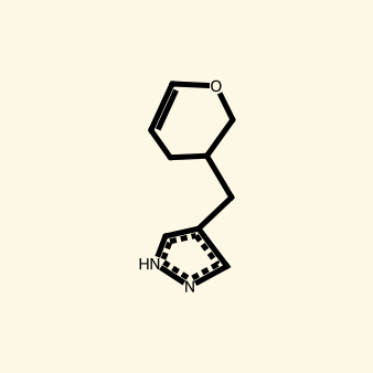 C1=COCC(Cc2cn[nH]c2)C1